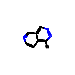 [2H]c1nncc2cnccc12